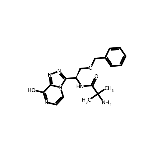 CC(C)(N)C(=O)N[C@H](COCc1ccccc1)c1nnc2c(O)nccn12